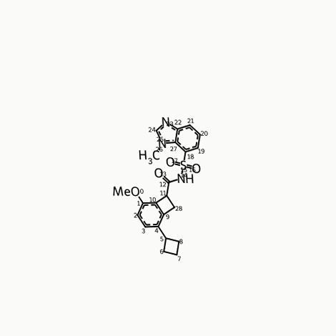 COc1ccc(C2CCC2)c2c1C(C(=O)NS(=O)(=O)c1cccc3ncn(C)c13)C2